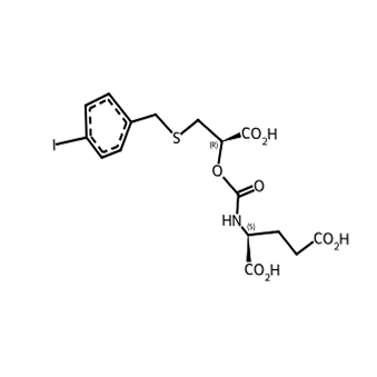 O=C(O)CC[C@H](NC(=O)O[C@@H](CSCc1ccc(I)cc1)C(=O)O)C(=O)O